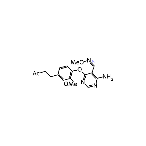 CO/N=C\c1c(N)ncnc1Oc1ccc(CCC(C)=O)cc1OC